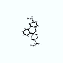 CNC(=O)N1CCC2(CC1)Cc1cnc(NC)nc1-c1ccccc12